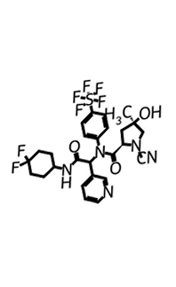 C[C@@]1(O)C[C@H](C(=O)N(c2ccc(S(F)(F)(F)(F)F)cc2)C(C(=O)NC2CCC(F)(F)CC2)c2cccnc2)N(C#N)C1